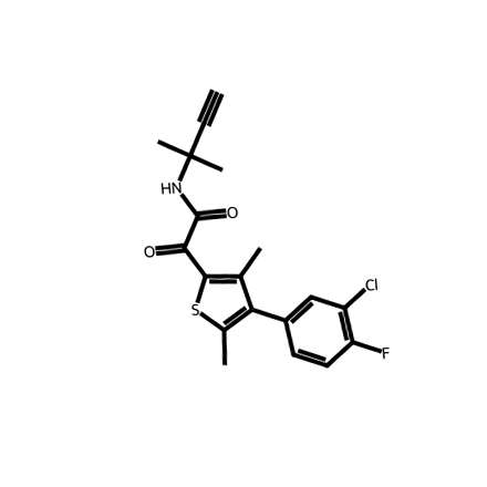 C#CC(C)(C)NC(=O)C(=O)c1sc(C)c(-c2ccc(F)c(Cl)c2)c1C